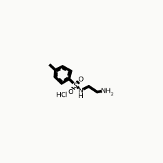 Cc1ccc(S(=O)(=O)NCCN)cc1.Cl